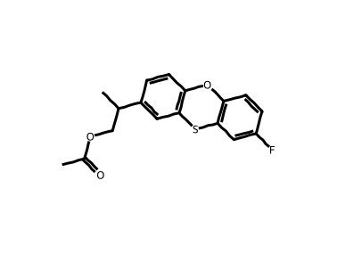 CC(=O)OCC(C)c1ccc2c(c1)Sc1cc(F)ccc1O2